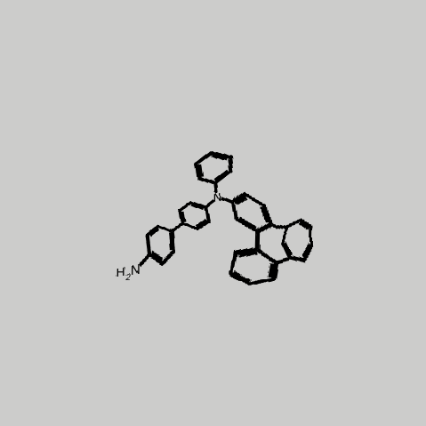 Nc1ccc(-c2ccc(N(c3ccccc3)c3ccc4c(c3)-c3ccccc3C3=CC4C=CC=C3)cc2)cc1